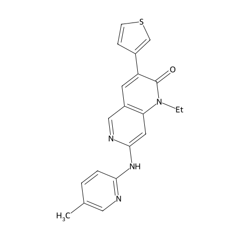 CCn1c(=O)c(-c2ccsc2)cc2cnc(Nc3ccc(C)cn3)cc21